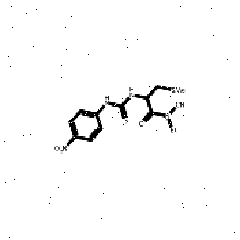 CCN(C#N)C(=O)C(CSC)NC(=S)Nc1ccc([N+](=O)[O-])cc1